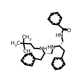 CC(C)(C)CCN[C@H](CN[C@H](CNC(=O)c1ccccc1)Cc1ccccc1)Cc1ccccc1